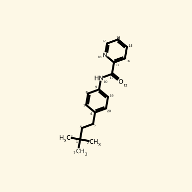 CC(C)(C)CCc1ccc(NC(=O)c2ccccn2)cc1